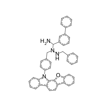 NC(c1cccc(-c2ccccc2)c1)N(Cc1ccc(-n2c3ccccc3c3ccc4c5ccccc5oc4c32)cc1)NCc1ccccc1